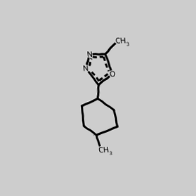 C[C]1CCC(c2nnc(C)o2)CC1